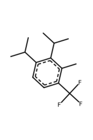 Cc1c(C(F)(F)F)ccc(C(C)C)c1C(C)C